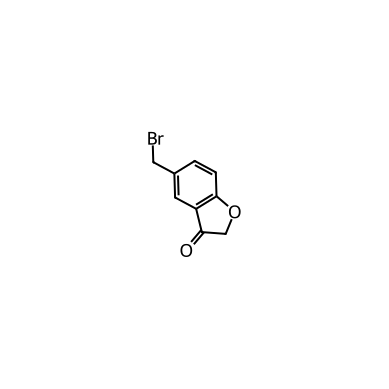 O=C1COc2ccc(CBr)cc21